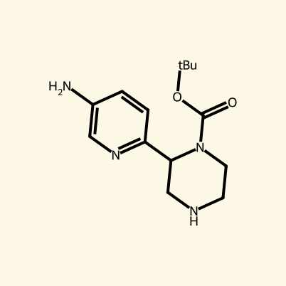 CC(C)(C)OC(=O)N1CCNCC1c1ccc(N)cn1